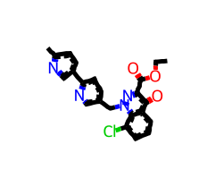 CCOC(=O)c1nn(Cc2ccc(-c3ccc(C)nc3)nc2)c2c(Cl)cccc2c1=O